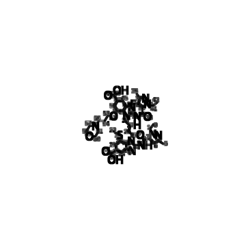 CCn1nc(C)cc1C(=O)Nc1nc2cc(C(=O)O)cc(SC)c2n1C/C=C/Cn1c(NC(=O)c2c(F)c(C)nn2CC)nc2cc(C(=O)O)cc(OCCCN3CCOCC3)c21